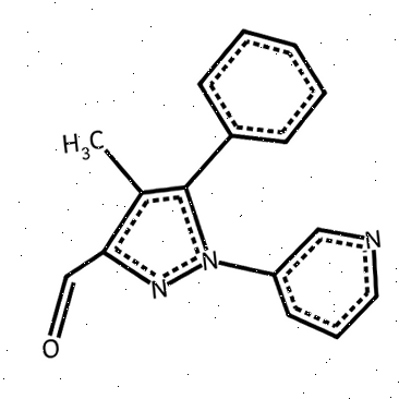 Cc1c(C=O)nn(-c2cccnc2)c1-c1ccccc1